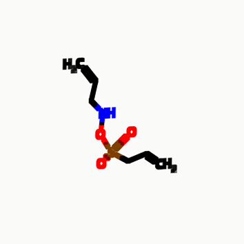 C=CCNOS(=O)(=O)CC=C